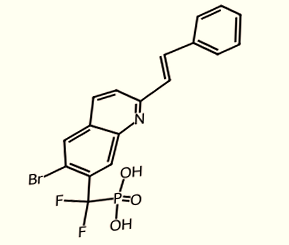 O=P(O)(O)C(F)(F)c1cc2nc(/C=C/c3ccccc3)ccc2cc1Br